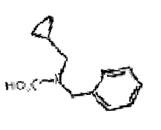 O=C(O)N(Cc1ccccc1)CC1CC1